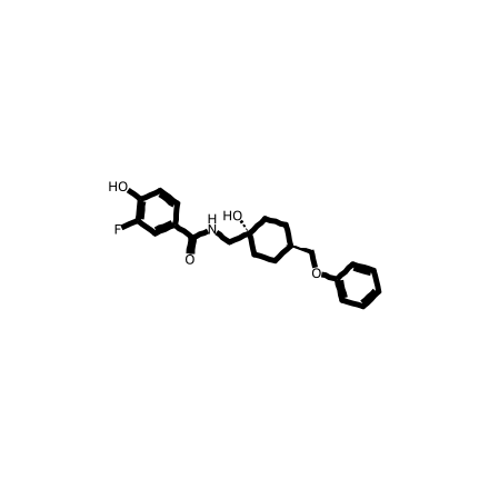 O=C(NC[C@]1(O)CC[C@H](COc2ccccc2)CC1)c1ccc(O)c(F)c1